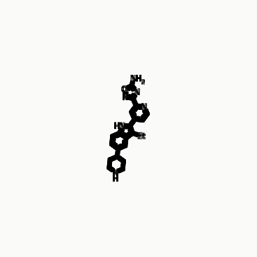 CCc1c(-c2ccnc(-c3noc(N)n3)c2)[nH]c2ccc(C3CCNCC3)cc12